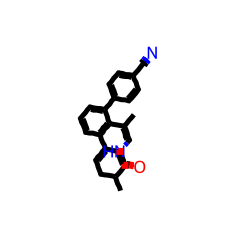 C/C(=C/NC=O)c1c(C2=CCC(C)C=C2)cccc1-c1ccc(C#N)cc1